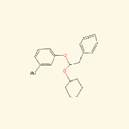 CCC(C)c1cccc(OC(Cc2ccccc2)OC2CCCCC2)c1